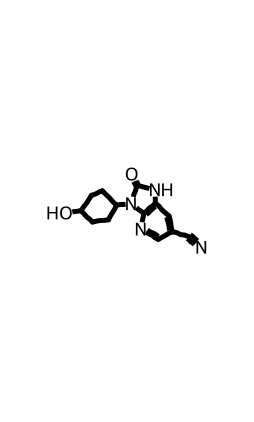 N#Cc1cnc2c(c1)[nH]c(=O)n2C1CCC(O)CC1